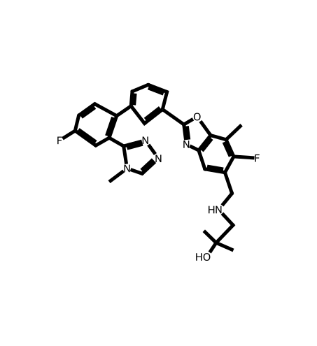 Cc1c(F)c(CNCC(C)(C)O)cc2nc(-c3cccc(-c4ccc(F)cc4-c4nncn4C)c3)oc12